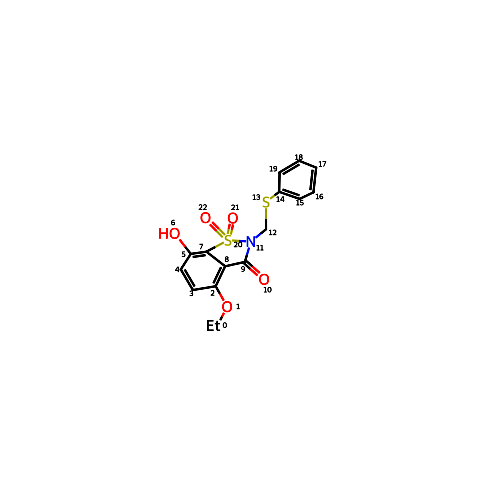 CCOc1ccc(O)c2c1C(=O)N(CSc1ccccc1)S2(=O)=O